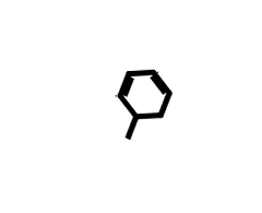 CC1[C]=C[C]=CC1